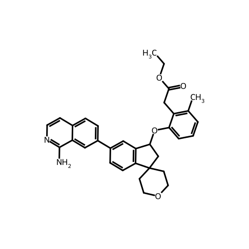 CCOC(=O)Cc1c(C)cccc1OC1CC2(CCOCC2)c2ccc(-c3ccc4ccnc(N)c4c3)cc21